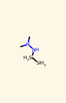 CN(C)N[SiH2][SiH3]